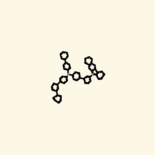 c1ccc(-c2ccc(N(c3ccc(-c4cccc(-c5ccccc5)c4)cc3)c3ccc(-c4cccc(-n5c6ccccc6c6cc7ccccc7cc65)c4)cc3)cc2)cc1